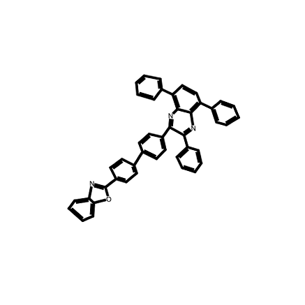 c1ccc(-c2nc3c(-c4ccccc4)ccc(-c4ccccc4)c3nc2-c2ccc(-c3ccc(-c4nc5ccccc5o4)cc3)cc2)cc1